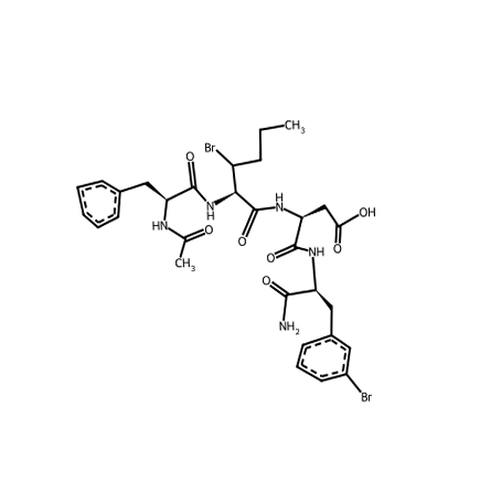 CCCC(Br)[C@H](NC(=O)[C@H](Cc1ccccc1)NC(C)=O)C(=O)N[C@@H](CC(=O)O)C(=O)N[C@@H](Cc1cccc(Br)c1)C(N)=O